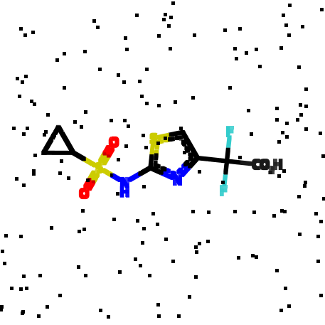 O=C(O)C(F)(F)c1csc(NS(=O)(=O)C2CC2)n1